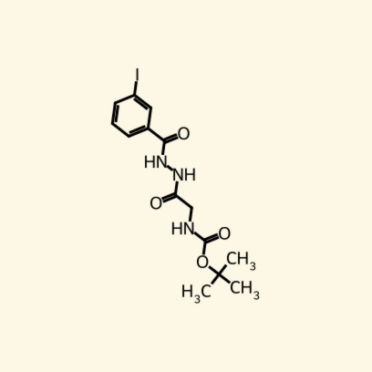 CC(C)(C)OC(=O)NCC(=O)NNC(=O)c1cccc(I)c1